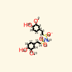 COc1cc(C=C[S+]([O-])N(C)S(=O)(=O)C=Cc2ccc(O)c(OC)c2)ccc1O